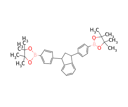 CC1(C)OB(c2ccc(C3CC(c4ccc(B5OC(C)(C)C(C)(C)O5)cc4)c4ccccc43)cc2)OC1(C)C